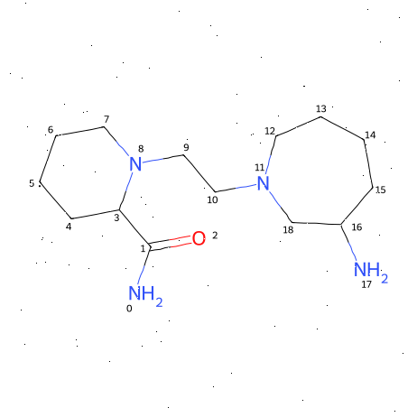 NC(=O)C1C[CH]CCN1CCN1CCCCC(N)C1